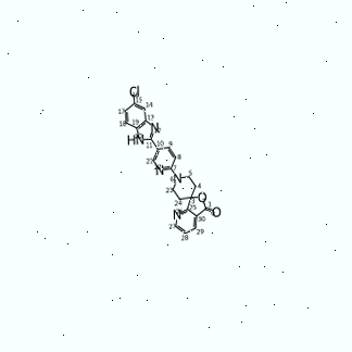 O=C1OC2(CCN(c3ccc(-c4nc5cc(Cl)ccc5[nH]4)cn3)CC2)c2ncccc21